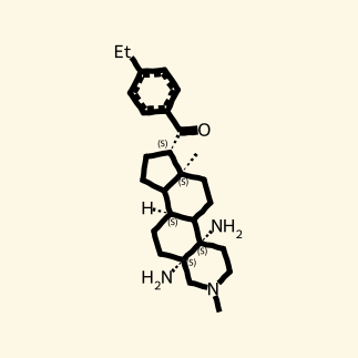 CCc1ccc(C(=O)[C@H]2CCC3[C@@H]4CC[C@]5(N)CN(C)CC[C@]5(N)C4CC[C@@]32C)cc1